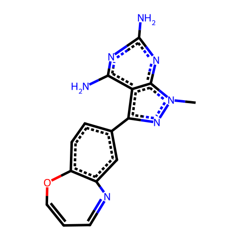 Cn1nc(-c2ccc3c(c2)N=CC=CO3)c2c(N)nc(N)nc21